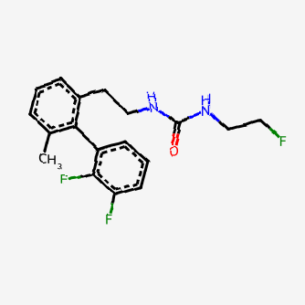 Cc1cccc(CCNC(=O)NCCF)c1-c1cccc(F)c1F